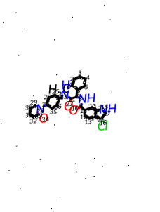 Cc1ccccc1C(NC(=O)c1ccc2c(Cl)c[nH]c2c1)C(=O)Nc1ccc(-n2ccccc2=O)cc1